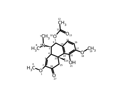 COC1=CC2[C@@H](N(C)C)[C@H](OC(C)=O)c3ccc(OC)c(O)c3[C@]2(I)CC1=O